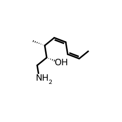 C/C=C\C=C/[C@@H](C)[C@H](O)CN